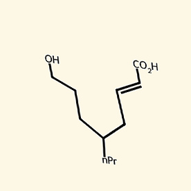 CCCC(CC=CC(=O)O)CCCO